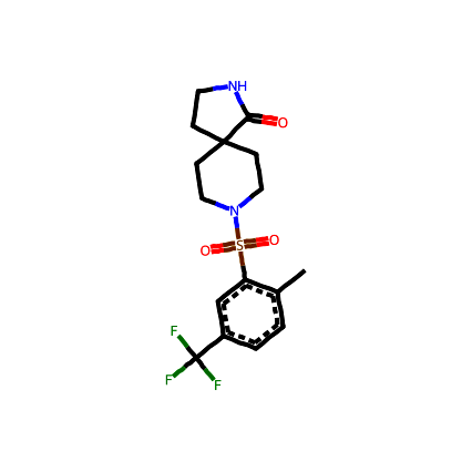 Cc1ccc(C(F)(F)F)cc1S(=O)(=O)N1CCC2(CCNC2=O)CC1